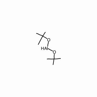 CC(C)(C)[O][AlH][O]C(C)(C)C